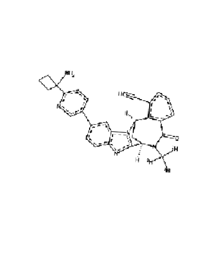 [2H]C([2H])([2H])N1C(=O)c2cccc(C#C)c2[C@H]2C[C@@H]1c1nc3ccc(-c4ccc(C5(N)CCC5)nc4)cc3n12